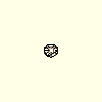 [CH]12[CH]3[CH]4[CH]5[CH]1[Cr]23451678[CH]2[CH]1[CH]6[CH]7[CH]28